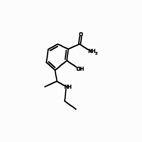 CCNC(C)c1cccc(C(N)=O)c1O